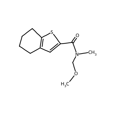 COCN(C)C(=O)c1cc2c(s1)CCCC2